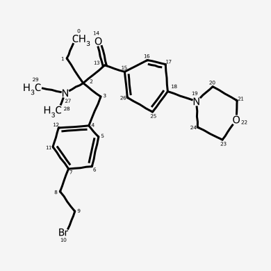 CCC(Cc1ccc(CCBr)cc1)(C(=O)c1ccc(N2CCOCC2)cc1)N(C)C